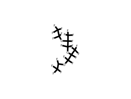 FC(OC(F)(F)C(F)(OC(F)(F)C(F)(OC(F)(F)C(F)(F)F)C(F)(F)F)C(F)(F)F)C(F)(F)F